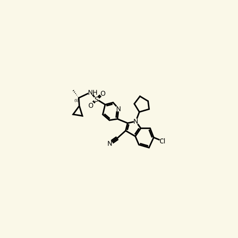 C[C@H](NS(=O)(=O)c1ccc(-c2c(C#N)c3ccc(Cl)cc3n2C2CCCC2)nc1)C1CC1